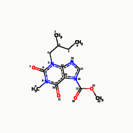 CCC(C)Cn1c(=O)n(C)c(=O)c2c1ncn2C(=O)OC